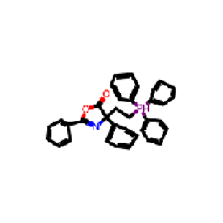 O=C1OC(c2ccccc2)=NC1(CC[PH](c1ccccc1)(c1ccccc1)c1ccccc1)c1ccccc1